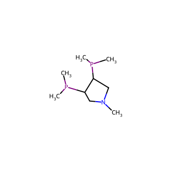 CN1CC(P(C)C)C(P(C)C)C1